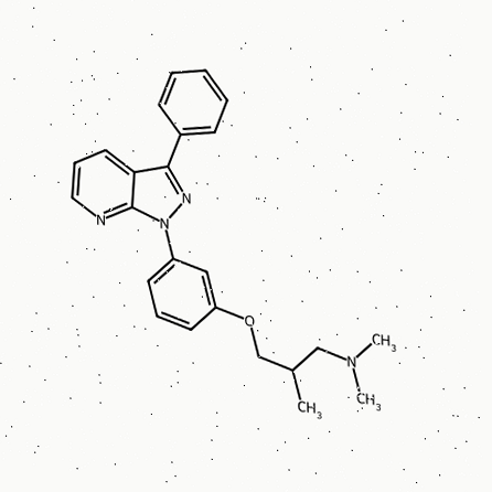 CC(COc1cccc(-n2nc(-c3ccccc3)c3cccnc32)c1)CN(C)C